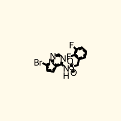 O=S(=O)(Cc1cccc(F)c1F)Nc1ncnn2c(Br)ccc12